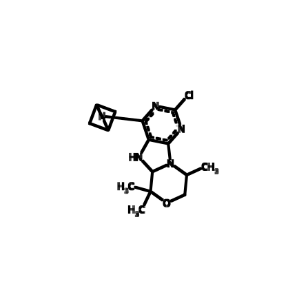 CC1COC(C)(C)C2Nc3c(N4CC5CC4C5)nc(Cl)nc3N12